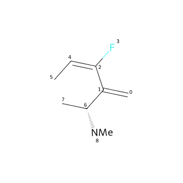 C=C(/C(F)=C\C)[C@@H](C)NC